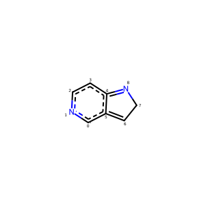 [c]1nccc2c1=CCN=2